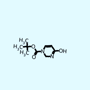 CC(C)(C)OC(=O)N1C=CC(O)=NC1